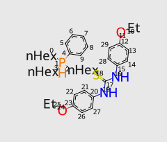 CCCCCC[PH](CCCCCC)(CCCCCC)c1ccccc1.CCOc1ccc(NC(=S)Nc2ccc(OCC)cc2)cc1